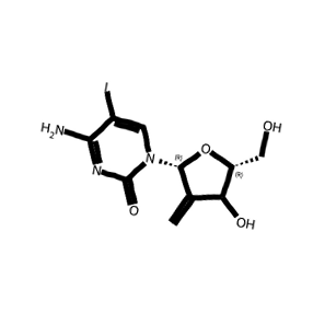 C=C1C(O)[C@@H](CO)O[C@H]1n1cc(I)c(N)nc1=O